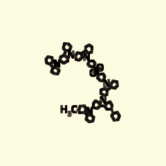 Cc1ccc2c(c1)c1ccccc1n2-c1ccc2c(c1)c1cc(-c3ccccc3)ccc1n2-c1ccc2c(c1)c1ccccc1n2-c1ccc(S(=O)(=O)c2ccc(-n3c4ccccc4c4cc(-n5c6ccccc6c6cc(-n7c8ccccc8c8ccccc87)ccc65)ccc43)cc2)cc1